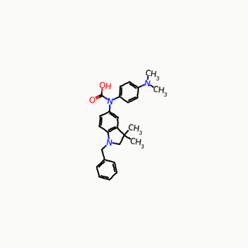 CN(C)c1ccc(N(C(=O)O)c2ccc3c(c2)C(C)(C)CN3Cc2ccccc2)cc1